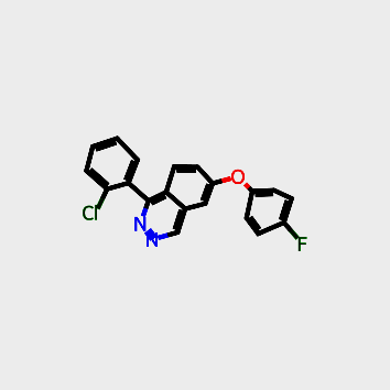 Fc1ccc(Oc2ccc3c(-c4ccccc4Cl)nncc3c2)cc1